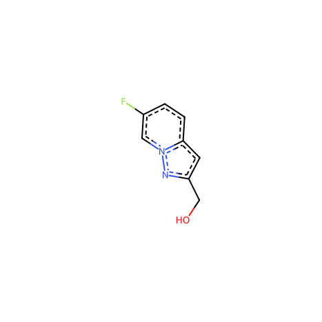 OCc1cc2ccc(F)cn2n1